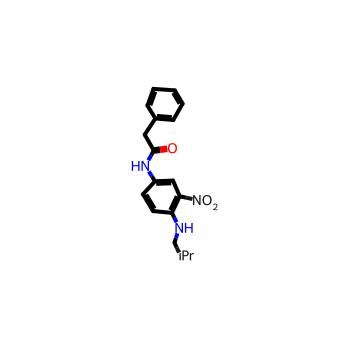 CC(C)CNc1ccc(NC(=O)Cc2ccccc2)cc1[N+](=O)[O-]